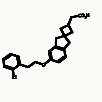 O=C(O)CN1CC2(Cc3ccc(OCCc4ccccc4Cl)cc3C2)C1